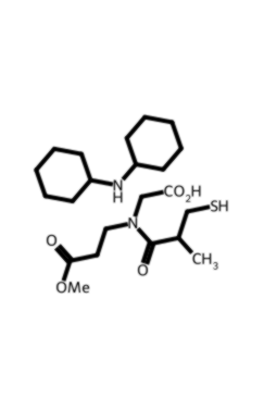 C1CCC(NC2CCCCC2)CC1.COC(=O)CCN(CC(=O)O)C(=O)C(C)CS